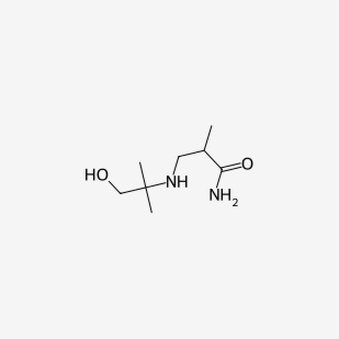 CC(CNC(C)(C)CO)C(N)=O